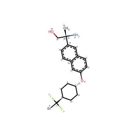 CCC(F)(F)[C@H]1CC[C@H](Oc2ccc3cc([C@@](C)(N)CO)ccc3c2)CC1